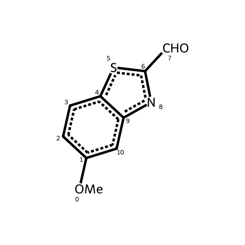 COc1ccc2sc(C=O)nc2c1